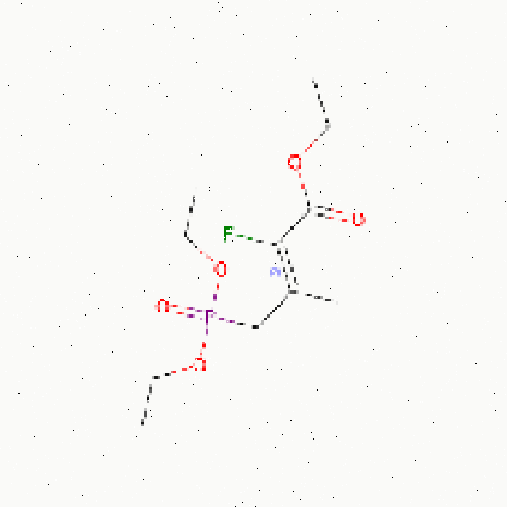 CCOC(=O)/C(F)=C(\C)CP(=O)(OCC)OCC